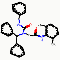 Cc1cccc(C)c1NC(=O)CN(C(=O)Nc1ccccc1)C(c1ccccc1)c1ccccc1